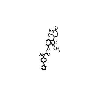 Cn1nc(C2CCC(=O)NC2=O)c2cccc(OCC(=O)Nc3ccc(-n4cccc4)cc3)c21